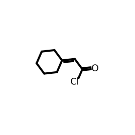 O=C(Cl)C=C1CCCCC1